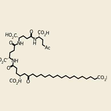 CC(=O)CC[C@H](NC(=O)CC[C@H](NC(=O)CC[C@H](NC(=O)CC[C@H](CC(=O)CCCCCCCCCCCCCCCCC(=O)O)C(=O)O)C(=O)O)C(=O)O)C(=O)O